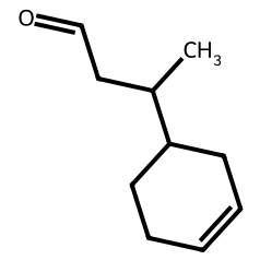 CC(CC=O)C1CC=CCC1